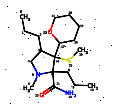 CCCC1CN(C)C(CCC)(C(N)=O)C1(SC)C1CCCCO1